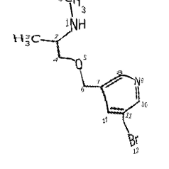 CNC(C)COCc1cncc(Br)c1